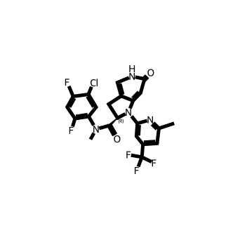 Cc1cc(C(F)(F)F)cc(N2c3cc(=O)[nH]cc3C[C@@H]2C(=O)N(C)c2cc(Cl)c(F)cc2F)n1